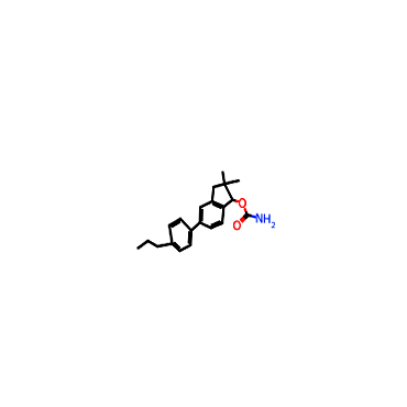 CCCc1ccc(-c2ccc3c(c2)CC(C)(C)C3OC(N)=O)cc1